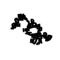 CC[C@H]1OC(=O)[C@H](C)C(=O)[C@H](C)[C@@H](O[C@@H]2OC(CNC(=O)c3ccccn3)CC(N(C)C)C2O)[C@](C)(OC)C[C@@H](C)CN[C@H](C)[C@H]2N(CCCCn3cc(-c4cccc(NC(=O)OC(C)(C)C)c4)nn3)C(=O)O[C@]12C